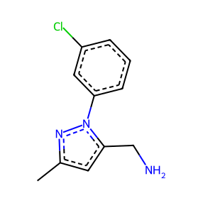 Cc1cc(CN)n(-c2cccc(Cl)c2)n1